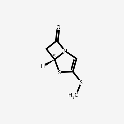 CSC1=CN2C(=O)C[C@H]2S1